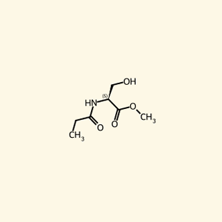 CCC(=O)N[C@@H](CO)C(=O)OC